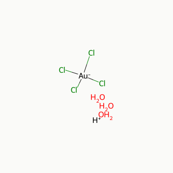 O.O.O.[Cl][Au-]([Cl])([Cl])[Cl].[H+]